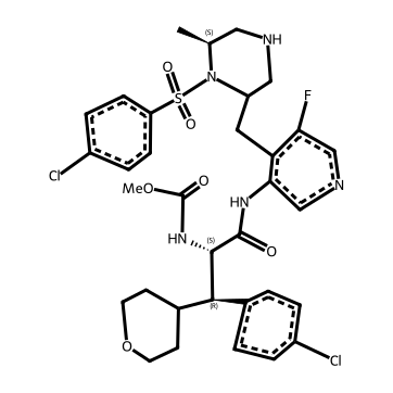 COC(=O)N[C@H](C(=O)Nc1cncc(F)c1CC1CNC[C@H](C)N1S(=O)(=O)c1ccc(Cl)cc1)[C@@H](c1ccc(Cl)cc1)C1CCOCC1